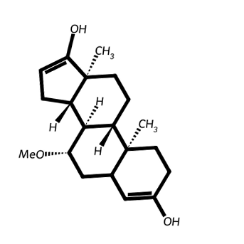 CO[C@H]1CC2C=C(O)CC[C@]2(C)[C@H]2CC[C@]3(C)C(O)=CC[C@H]3[C@H]12